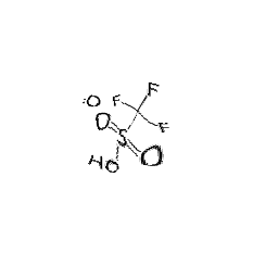 O=S(=O)(O)C(F)(F)F.[O]